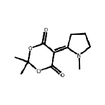 CN1CCCC1=C1C(=O)OC(C)(C)OC1=O